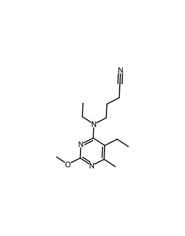 CCc1c(C)nc(OC)nc1N(CC)CCCC#N